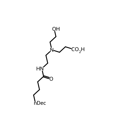 CCCCCCCCCCCCCC(=O)NCCN(CCO)CCC(=O)O